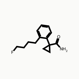 NC(=O)C1(c2ccccc2CCCCF)CC1